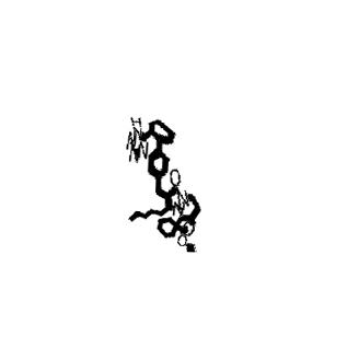 CCCCCc1c(Cc2ccc(-c3ccccc3-c3nnn[nH]3)cc2)c(=O)n2n1C(C1(C(=O)OCC)CCCCC1)C(C)=CC2